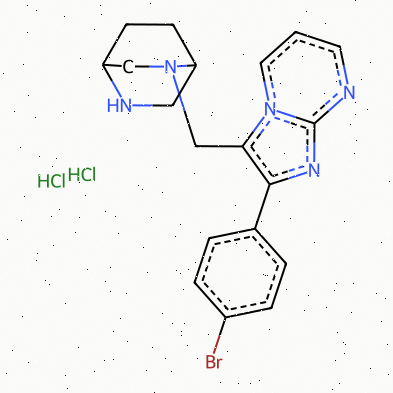 Brc1ccc(-c2nc3ncccn3c2CN2CC3CCC2CN3)cc1.Cl.Cl